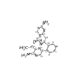 COc1nc(-c2ccccc2C2Cc3nc(N)ncc3C(=O)N2)cnc1N